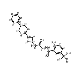 O=C(CNC(=O)c1cc(C(F)(F)F)ccc1F)NC1CN(C2CCC(c3ccccc3)CC2)C1